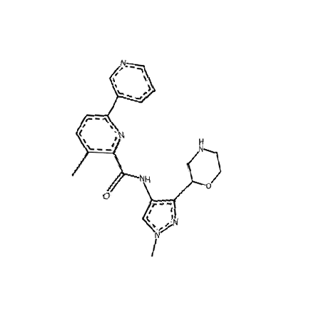 Cc1ccc(-c2cccnc2)nc1C(=O)Nc1cn(C)nc1C1CNCCO1